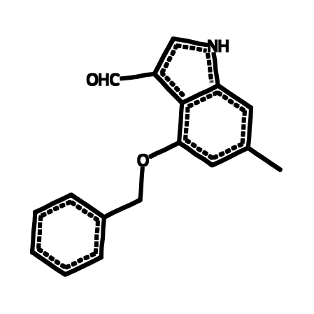 Cc1cc(OCc2ccccc2)c2c(C=O)c[nH]c2c1